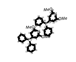 COc1cc(P(c2ccccc2)c2ccccc2)cc(OC)n1.COc1cc(P(c2ccccc2)c2ccccc2)cc(OC)n1